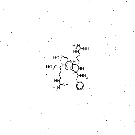 N=C(N)NCCC[C@H](NC(=O)[C@H](CC(=O)O)NC(=O)[C@H](CCCNC(=N)N)NC(=O)[C@@H](N)Cc1ccccc1)C(=O)O